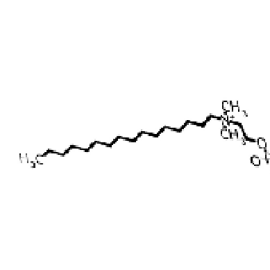 CCCCCCCCCCCCCCCC[N+](C)(C)CCOP(=O)([O-])O